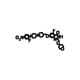 O=c1[nH]c(COC2CCOCC2)nc2cc(OCC3CCN(C4CCN(c5ccc([N+](=O)[O-])cc5F)CC4)CC3)cc(F)c12